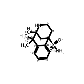 CC12CC(S(N)(=O)=O)(CCN1)c1ccccc1C2(C)C